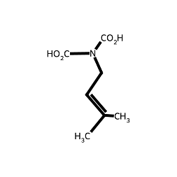 CC(C)=CCN(C(=O)O)C(=O)O